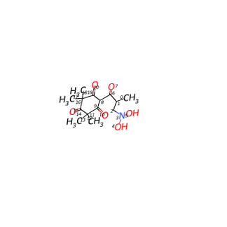 CC(CN(O)O)C(=O)C1C(=O)C(C)(C)C(=O)C(C)(C)C1=O